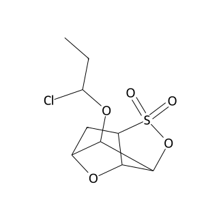 CCC(Cl)OC1C2CC3C(O2)C1OS3(=O)=O